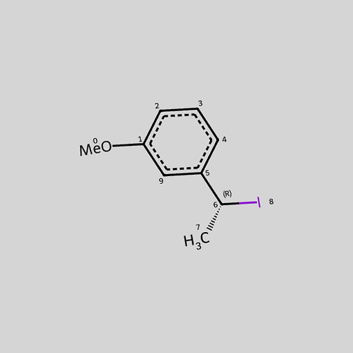 COc1cccc([C@@H](C)I)c1